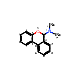 CC(C)(C)N(C1Oc2ccccc2-c2ccccc21)C(C)(C)C